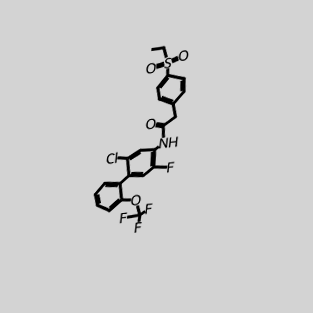 CCS(=O)(=O)c1ccc(CC(=O)Nc2cc(Cl)c(-c3ccccc3OC(F)(F)F)cc2F)cc1